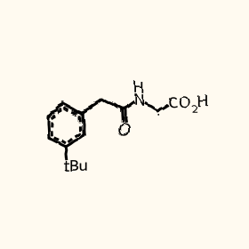 CC(C)(C)c1cccc(CC(=O)N[CH]C(=O)O)c1